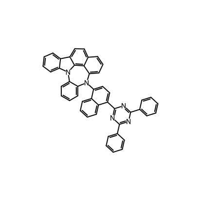 c1ccc(-c2nc(-c3ccccc3)nc(-c3ccc(-n4c5cccc6ccc7c8ccccc8n(c8ccccc84)c7c65)c4ccccc34)n2)cc1